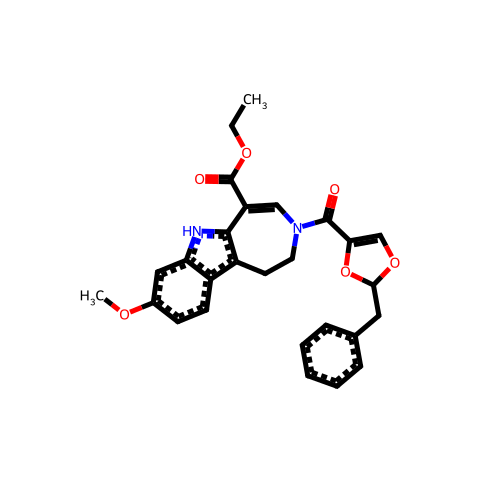 CCOC(=O)C1=CN(C(=O)C2=COC(Cc3ccccc3)O2)CCc2c1[nH]c1cc(OC)ccc21